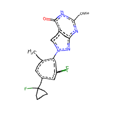 COc1nc2nn(-c3c(C)cc(C4(F)CC4)cc3F)cc2c(=O)[nH]1